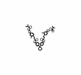 C=C(C)C(=O)OCOc1ccc(C=CC(=O)Oc2ccc(C3(c4ccc(OC(=O)C=Cc5ccc(OCOC(=O)C(=C)C)cc5C)cc4)CCCCC3)cc2)c(C)c1